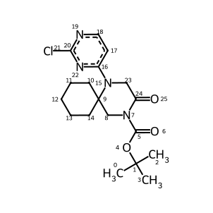 CC(C)(C)OC(=O)N1CC2(CCCCC2)N(c2ccnc(Cl)n2)CC1=O